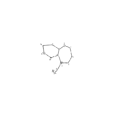 CN1CCCOC2CCOCC21